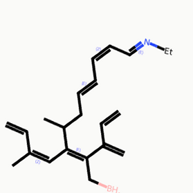 BC/C(C(=C)C=C)=C(\C=C(\C)C=C)C(C)C/C=C/C=C\C=N\CC